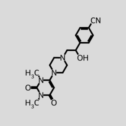 Cn1c(N2CCN(CC(O)c3ccc(C#N)cc3)CC2)cc(=O)n(C)c1=O